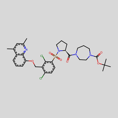 Cc1cc(C)c2cccc(OCc3c(Cl)ccc(S(=O)(=O)N4CCC[C@H]4C(=O)N4CCCN(C(=O)OC(C)(C)C)CC4)c3Cl)c2n1